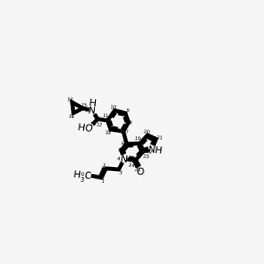 C/C=C/Cn1cc(-c2cccc(C(O)NC3CC3)c2)c2cc[nH]c2c1=O